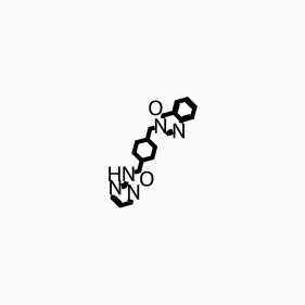 O=C(Nc1ncccn1)C1CCC(Cn2cnc3ccccc3c2=O)CC1